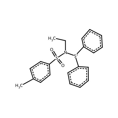 CCN([S+](c1ccccc1)c1ccccc1)S(=O)(=O)c1ccc(C)cc1